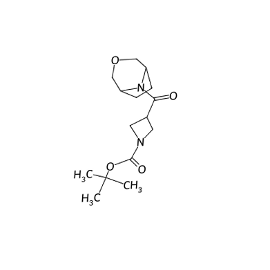 CC(C)(C)OC(=O)N1CC(C(=O)N2C3CCC2COC3)C1